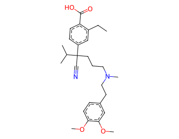 CCc1cc(C(C#N)(CCCN(C)CCc2ccc(OC)c(OC)c2)C(C)C)ccc1C(=O)O